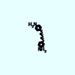 Nc1ccc(SCSCSc2ccc(N)cc2)cc1